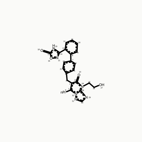 CCCc1c(Cc2ccc(-c3ccccc3-c3noc(=O)[nH]3)cc2)c(=O)n(CCO)c2ncnn12